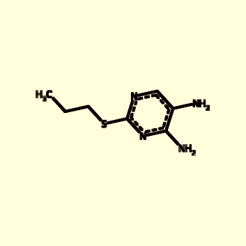 CCCSc1ncc(N)c(N)n1